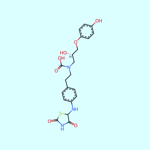 O=C1NC(=O)C(Nc2ccc(CCN(C[C@H](O)COc3ccc(O)cc3)C(=O)O)cc2)S1